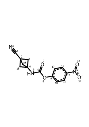 N#CC12CC(NC(=O)Oc3ccc([N+](=O)[O-])cc3)(C1)C2